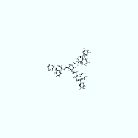 C(=C\c1cnc(-c2ccccc2)c2ccccc12)/c1cc(/C=C/c2cnc(-c3ccccc3)c3ccccc23)cc(/C=C/c2cnc(-c3ccccc3)c3ccccc23)c1